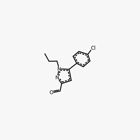 CCCn1nc(C=O)cc1-c1ccc(Cl)cc1